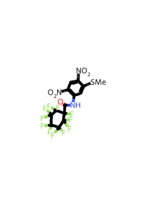 CSc1cc(NC(=O)C2(F)C(F)(F)C(F)(F)C(F)(F)C(F)(F)C2(F)F)c([N+](=O)[O-])cc1[N+](=O)[O-]